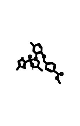 COC(=O)c1ccc(COc2ccc(C)cc2N(CC(C)F)S(=O)(=O)c2nc(C)cs2)cc1